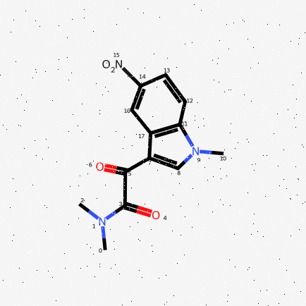 CN(C)C(=O)C(=O)c1cn(C)c2ccc([N+](=O)[O-])cc12